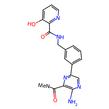 CNC(=O)c1nc(-c2cccc(CNC(=O)c3ncccc3O)c2)cnc1N